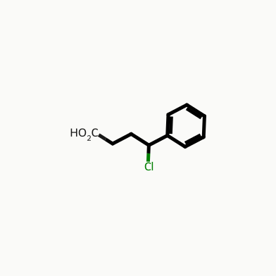 O=C(O)CCC(Cl)c1ccccc1